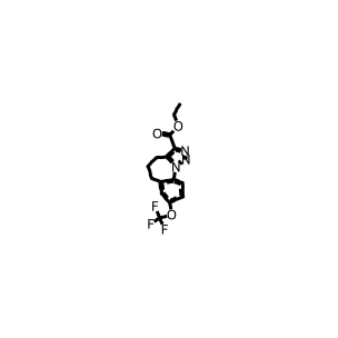 CCOC(=O)c1nnn2c1CCCc1cc(OC(F)(F)F)ccc1-2